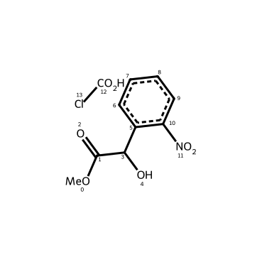 COC(=O)C(O)c1ccccc1[N+](=O)[O-].O=C(O)Cl